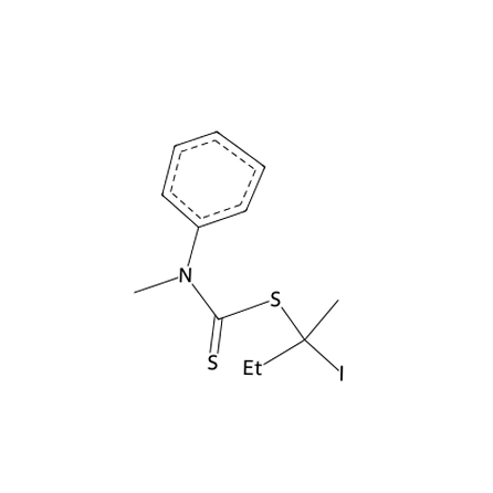 CCC(C)(I)SC(=S)N(C)c1ccccc1